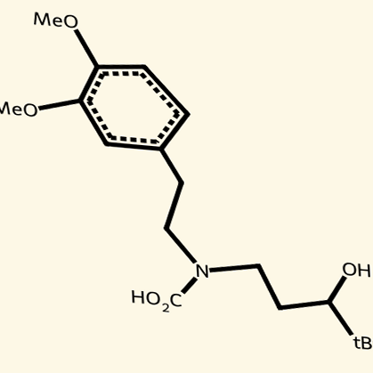 COc1ccc(CCN(CCC(O)C(C)(C)C)C(=O)O)cc1OC